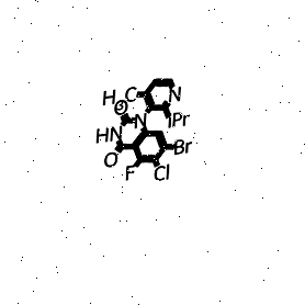 Cc1ccnc(C(C)C)c1-n1c(=O)[nH]c(=O)c2c(F)c(Cl)c(Br)cc21